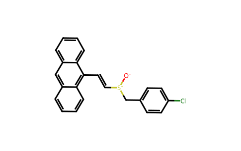 [O-][S+](C=Cc1c2ccccc2cc2ccccc12)Cc1ccc(Cl)cc1